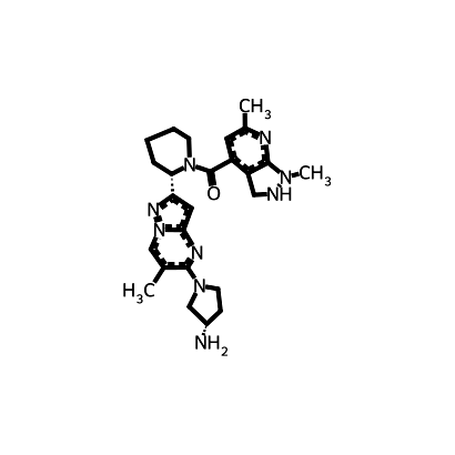 Cc1cc(C(=O)N2CCCC[C@H]2c2cc3nc(N4CC[C@H](N)C4)c(C)cn3n2)c2c(n1)N(C)NC2